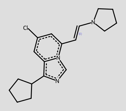 Clc1cc(/C=C/N2CCCC2)n2cnc(C3CCCC3)c2c1